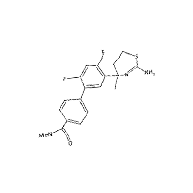 CNC(=O)c1ccc(-c2cc(C3(C)CCSC(N)=N3)c(F)cc2F)cc1